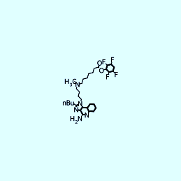 CCCCc1nc2c(N)nc3ccccc3c2n1CCCCN(C)CCCCCCC(=O)Oc1c(F)c(F)cc(F)c1F